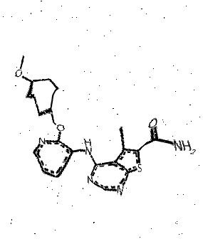 COC1CCC(Oc2ncccc2Nc2ncnc3sc(C(N)=O)c(C)c23)CC1